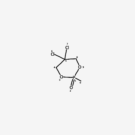 CP1(=O)OCC(Cl)(Cl)CO1